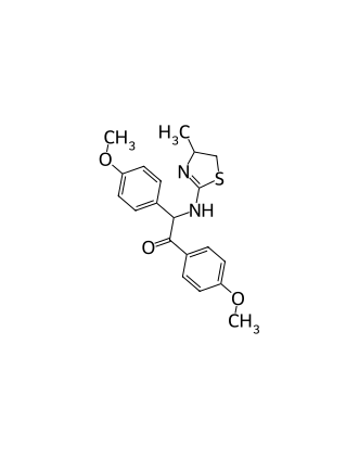 COc1ccc(C(=O)C(NC2=NC(C)CS2)c2ccc(OC)cc2)cc1